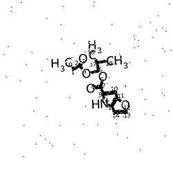 CCC(=O)OC(OC(=O)c1cc2occc2[nH]1)C(C)C